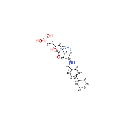 NC(CCCCB(O)O)(C(=O)O)C1CC(NCc2ccc(C3CCCCC3)cc2)C1